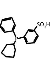 O=S(=O)(O)c1cccc(P(c2ccccc2)C2CCCCC2)c1